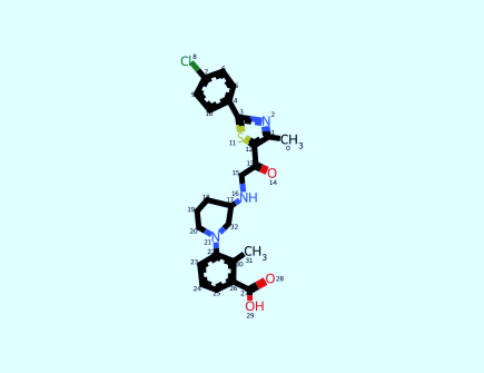 Cc1nc(-c2ccc(Cl)cc2)sc1C(=O)CNC1CCCN(c2cccc(C(=O)O)c2C)C1